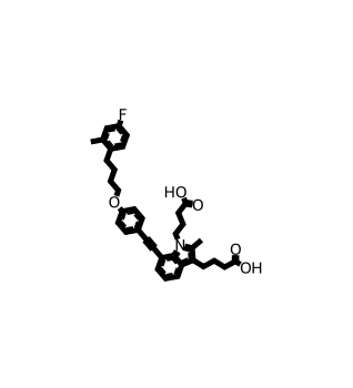 Cc1cc(F)ccc1CCCCOc1ccc(C#Cc2cccc3c(CCCC(=O)O)c(C)n(CCCC(=O)O)c23)cc1